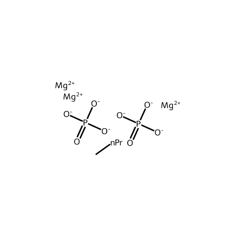 CCCC.O=P([O-])([O-])[O-].O=P([O-])([O-])[O-].[Mg+2].[Mg+2].[Mg+2]